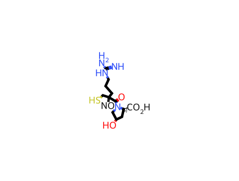 N=C(N)NCCCC(CS)(N=O)C(=O)N1CC(O)C[C@H]1C(=O)O